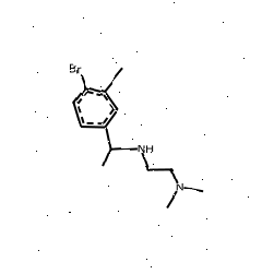 Cc1cc(C(C)NCCN(C)C)ccc1Br